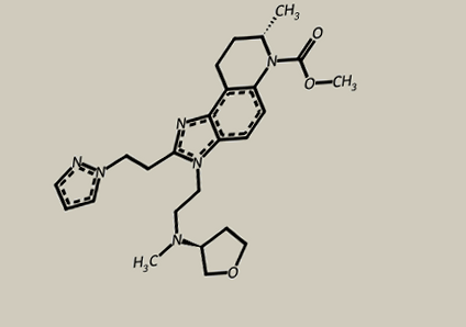 COC(=O)N1c2ccc3c(nc(CCn4cccn4)n3CCN(C)[C@H]3CCOC3)c2CC[C@@H]1C